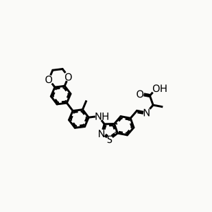 Cc1c(Nc2nsc3ccc(C=NC(C)C(=O)O)cc23)cccc1-c1ccc2c(c1)OCCO2